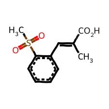 CC(=Cc1ccccc1S(C)(=O)=O)C(=O)O